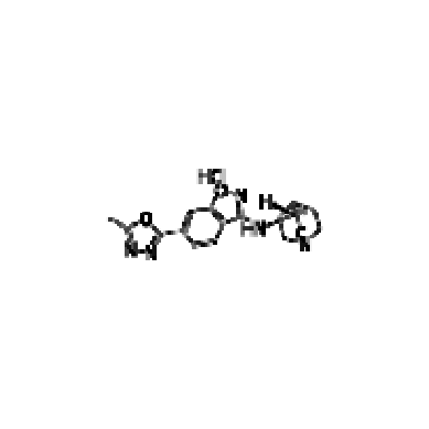 Cc1nnc(-c2ccc3c(N[C@H]4CN5CCC4CC5)noc3c2)o1.Cl